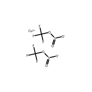 O=S([O-])OC(F)(F)F.O=S([O-])OC(F)(F)F.[Cu+2]